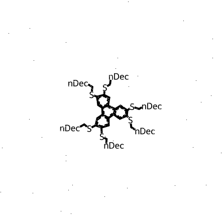 CCCCCCCCCCCSc1cc2c3cc(SCCCCCCCCCCC)c(SCCCCCCCCCCC)cc3c3cc(SCCCCCCCCCCC)c(SCCCCCCCCCCC)cc3c2cc1SCCCCCCCCCCC